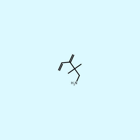 C=CC(=C)C(C)(C)CN